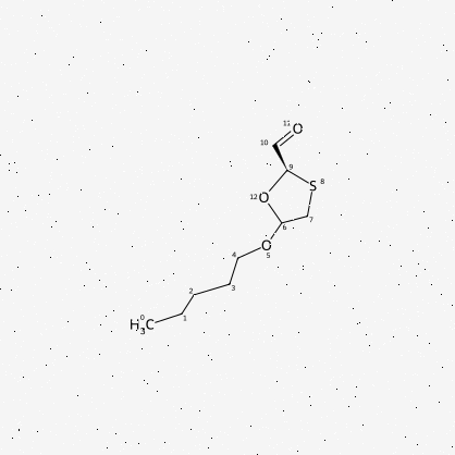 CCCCCOC1CS[C@H](C=O)O1